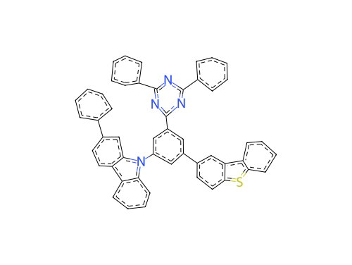 c1ccc(-c2ccc3c4ccccc4n(-c4cc(-c5ccc6sc7ccccc7c6c5)cc(-c5nc(-c6ccccc6)nc(-c6ccccc6)n5)c4)c3c2)cc1